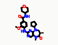 COc1cc(C(=O)NC2CCOCC2)ccc1Nc1ncc2c(n1)N(C1CCCC1)C[C@@H](C)C(=O)N2C